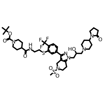 CC(C)(C)OC(=O)N1CCC(C(=O)NCCSc2cc(-c3nn(CC(O)CN4CCC(N5CCCC5=O)CC4)c4c3CN(S(C)(=O)=O)CC4)ccc2C(F)(F)F)CC1